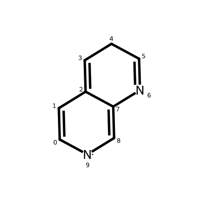 C1=CC2=CCC=NC2=C[N]1